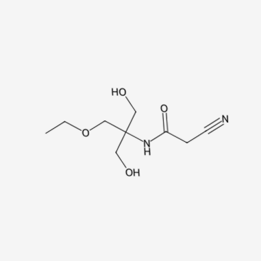 CCOCC(CO)(CO)NC(=O)CC#N